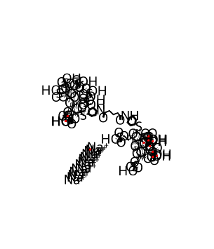 O=C(CCCC(=O)Nc1ccc(S[C@@H]2O[C@H](COS(=O)(=O)O)[C@@H](O[C@H]3O[C@H](COS(=O)(=O)O)[C@@H](OS(=O)(=O)O)[C@H](OS(=O)(=O)O)[C@H]3OS(=O)(=O)O)[C@H](OS(=O)(=O)O)[C@H]2OS(=O)(=O)O)cc1)Nc1ccc(S[C@@H]2O[C@H](COS(=O)(=O)O)[C@@H](O[C@H]3O[C@H](COS(=O)(=O)O)[C@@H](OS(=O)(=O)O)[C@H](OS(=O)(=O)O)[C@H]3OS(=O)(=O)O)[C@H](OS(=O)(=O)O)[C@H]2OS(=O)(=O)O)cc1.[Na+].[Na+].[Na+].[Na+].[Na+].[Na+].[Na+].[Na+].[Na+].[Na+].[Na+].[Na+].[Na+].[Na+]